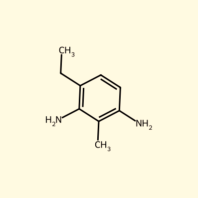 CCc1ccc(N)c(C)c1N